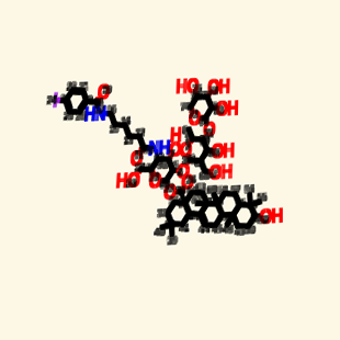 CC1O[C@@H](OC2C(O)[C@@H](NC(=O)CCCCCNC(=O)c3ccc(I)cc3)C(CO)O[C@H]2OC(=O)[C@]23CCC(C)(C)CC2C2=CCC4C5(C)CC[C@H](O)C(C)(C)C5CCC4(C)C2(C)CC3)C(CO)C(O)[C@H]1O[C@@H]1OC[C@@H](O)C(O)C1O